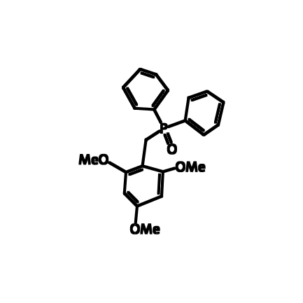 COc1cc(OC)c(CP(=O)(c2ccccc2)c2ccccc2)c(OC)c1